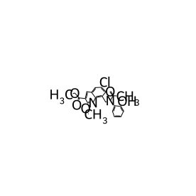 COC(=O)c1cc2cc(Cl)cc(CN(C(C)=O)c3ccccc3O)c2nc1OC